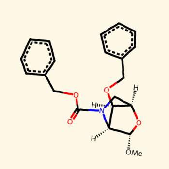 CO[C@H]1O[C@@H]2CN(C(=O)OCc3ccccc3)[C@H]1[C@H]2OCc1ccccc1